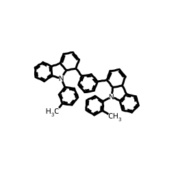 Cc1cccc(N2c3ccccc3C3=CC=CC(c4cccc(C5=CC=CC6c7ccccc7N(c7ccccc7C)C56)c4)C32)c1